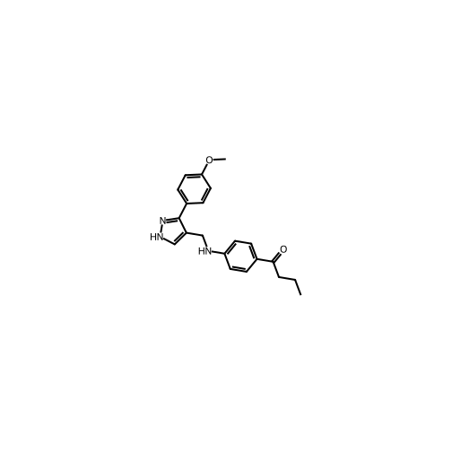 CCCC(=O)c1ccc(NCc2c[nH]nc2-c2ccc(OC)cc2)cc1